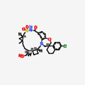 CC12CC[C@H](CO)[C@@H]3CC[C@H]3CN3C[C@@]4(CCCc5cc(Cl)ccc54)COc4ccc(cc43)C(=O)NS(=O)(=O)C[C@H]1C2